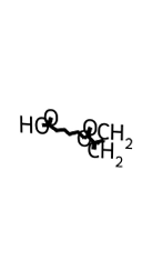 C=CC(=C)C(=O)OCCCCC(=O)O